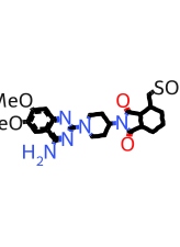 COc1cc2nc(N3CCC(N4C(=O)C5CCCC(CS(=O)(=O)O)C5C4=O)CC3)nc(N)c2cc1OC